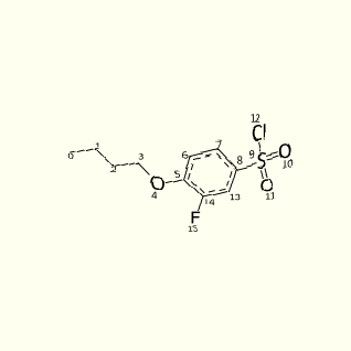 CCCCOc1ccc(S(=O)(=O)Cl)cc1F